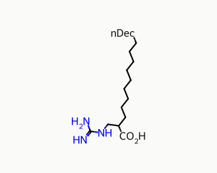 CCCCCCCCCCCCCCCCCCCC(CNC(=N)N)C(=O)O